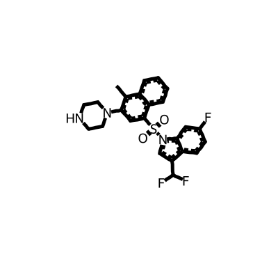 Cc1c(N2CCNCC2)cc(S(=O)(=O)n2cc(C(F)F)c3ccc(F)cc32)c2ccccc12